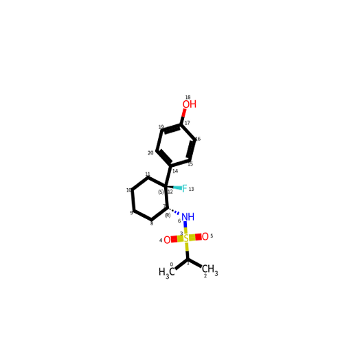 CC(C)S(=O)(=O)N[C@@H]1CCCC[C@]1(F)c1ccc(O)cc1